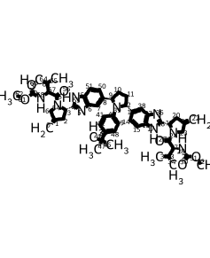 C=C1C[C@@H](c2nc3cc([C@H]4CC[C@H](c5ccc6[nH]c([C@@H]7CC(=C)CN7C(=O)[C@@H](NC(=O)OC)C(C)C)nc6c5)N4c4ccc(C(C)(C)C)cc4)ccc3[nH]2)N(C(=O)C(NC(=O)OC)C(C)C)C1